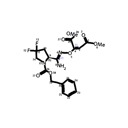 COC(=O)/C=C(/O/N=C(\N)[C@@H]1CC(F)(F)CN1C(=O)OCc1ccccc1)C(=O)OC